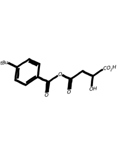 CC(C)(C)c1ccc(C(=O)OC(=O)CC(O)C(=O)O)cc1